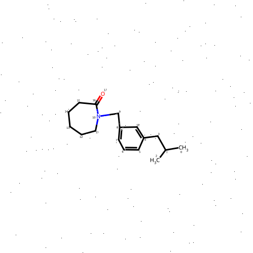 CC(C)Cc1cccc(CN2CCCCCC2=O)c1